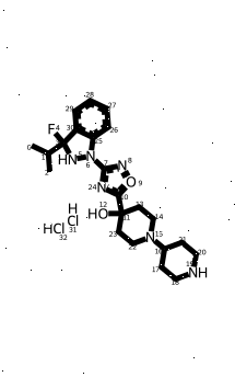 CC(C)C1(F)NN(c2noc(C3(O)CCN(C4CCNCC4)CC3)n2)c2ccccc21.Cl.Cl